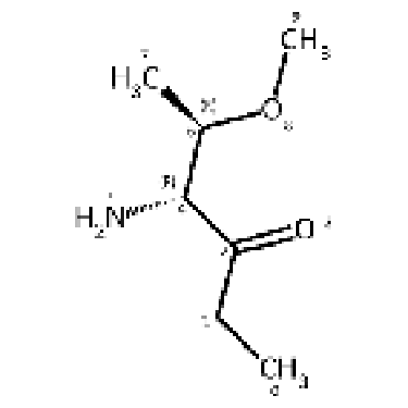 CCC(=O)[C@H](N)[C@@H](C)OC